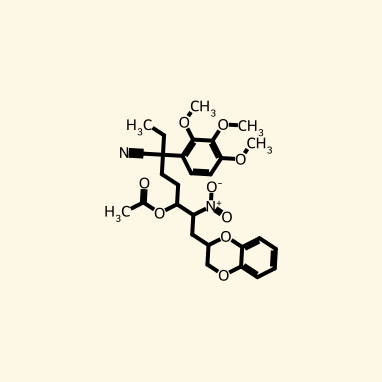 CCC(C#N)(CCC(OC(C)=O)C(CC1COc2ccccc2O1)[N+](=O)[O-])c1ccc(OC)c(OC)c1OC